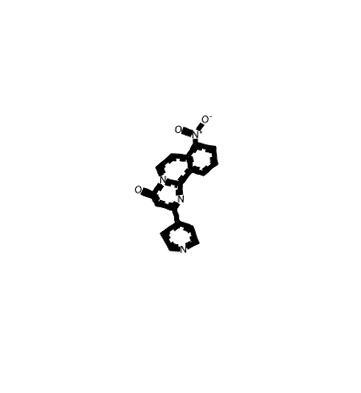 O=c1cc(-c2ccncc2)nc2c3cccc([N+](=O)[O-])c3ccn12